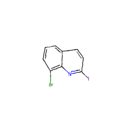 Brc1cccc2ccc(I)nc12